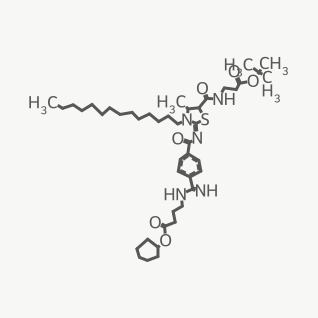 CCCCCCCCCCCCCCN1C(=NC(=O)c2ccc(C(=N)NCCCC(=O)OC3CCCCC3)cc2)SC(C(=O)NCCC(=O)OC(C)(C)C)C1C